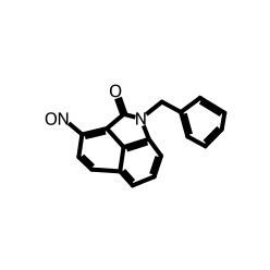 O=Nc1ccc2cccc3c2c1C(=O)N3Cc1ccccc1